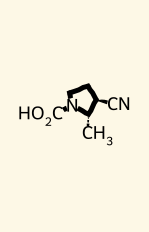 C[C@H]1[C@H](C#N)CCN1C(=O)O